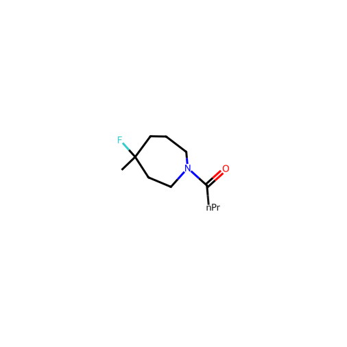 CCCC(=O)N1CCCC(C)(F)CC1